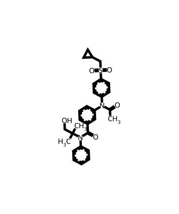 CC(=O)N(c1ccc(S(=O)(=O)CC2CC2)cc1)c1cccc(C(=O)N(c2ccccc2)C(C)(C)CO)c1